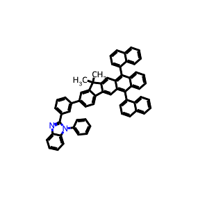 CC1(C)c2cc(-c3cccc(-c4nc5ccccc5n4-c4ccccc4)c3)ccc2-c2cc3c(-c4cccc5ccccc45)c4ccccc4c(-c4cccc5ccccc45)c3cc21